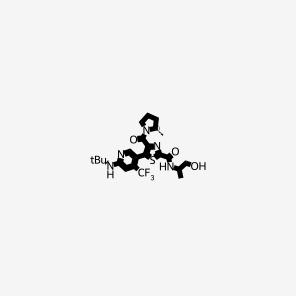 CC(CO)NC(=O)c1nc(C(=O)N2CCC[C@@H]2C)c(-c2cnc(NC(C)(C)C)cc2C(F)(F)F)s1